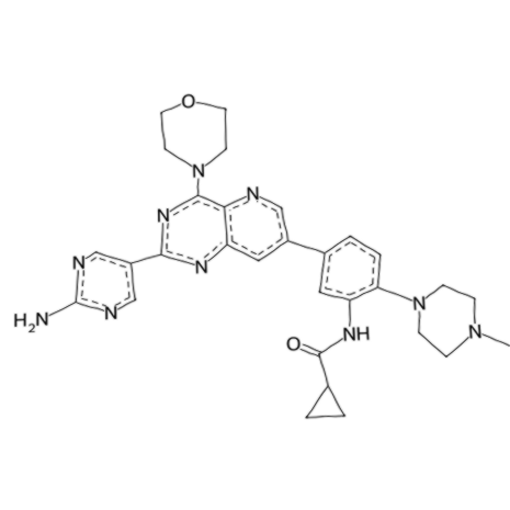 CN1CCN(c2ccc(-c3cnc4c(N5CCOCC5)nc(-c5cnc(N)nc5)nc4c3)cc2NC(=O)C2CC2)CC1